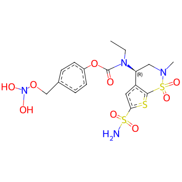 CCN(C(=O)Oc1ccc(CON(O)O)cc1)[C@H]1CN(C)S(=O)(=O)c2sc(S(N)(=O)=O)cc21